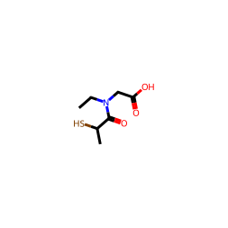 CCN(CC(=O)O)C(=O)C(C)S